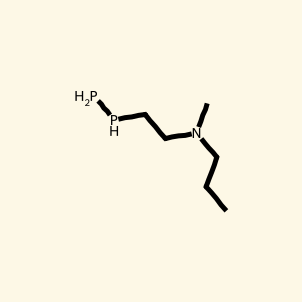 CCCN(C)CCPP